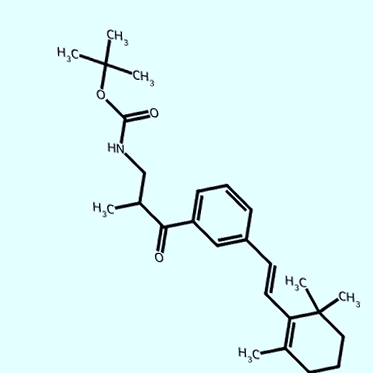 CC1=C(C=Cc2cccc(C(=O)C(C)CNC(=O)OC(C)(C)C)c2)C(C)(C)CCC1